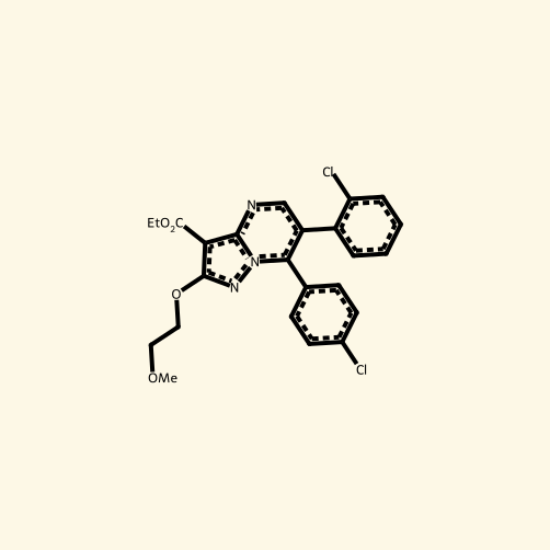 CCOC(=O)c1c(OCCOC)nn2c(-c3ccc(Cl)cc3)c(-c3ccccc3Cl)cnc12